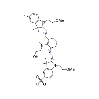 COCCN1/C(=C/C=C2\CCCC(/C=C/C3=[N+](CCOC)c4ccc(C)cc4C3(C)C)=C2N(C)CCO)C(C)(C)c2cc(S(=O)(=O)[O-])ccc21